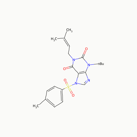 CCCCn1c(=O)n(CC=C(C)C)c(=O)c2c1ncn2S(=O)(=O)c1ccc(C)cc1